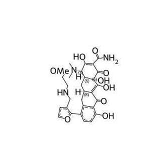 COCCNCc1ccoc1-c1ccc(O)c2c1C[C@H]1C[C@H]3[C@H](N(C)C)C(O)=C(C(N)=O)C(=O)[C@@]3(O)C(O)=C1C2=O